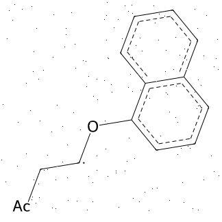 CC(=O)C[CH]Oc1cccc2ccccc12